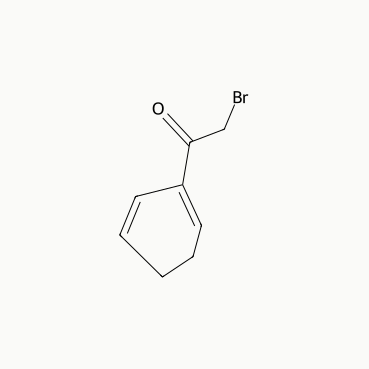 O=C(CBr)C1=CCCC=C1